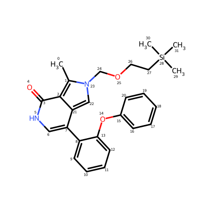 Cc1c2c(=O)[nH]cc(-c3ccccc3Oc3ccccc3)c2cn1COCC[Si](C)(C)C